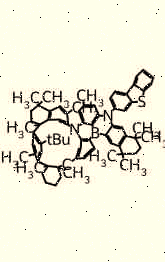 Cc1cc2c3c(c1)N1c4cc5c(cc4C)C(C)(C)CCC5(C)c4cc(C)c(cc4C(C)(C)C)C4(C)CCCCC4(C)Cc4ccc(c1c4)B3c1cc3c(cc1N2c1ccc2c(c1)sc1ccccc12)C(C)(C)CCC3(C)C